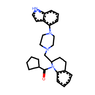 O=C(C1CCCC1)N1c2ccccc2CCC1CN1CCN(c2cccc3[nH]ccc23)CC1